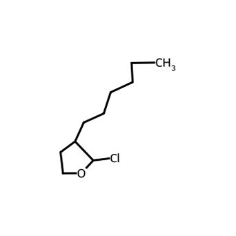 CCCCCCC1CCOC1Cl